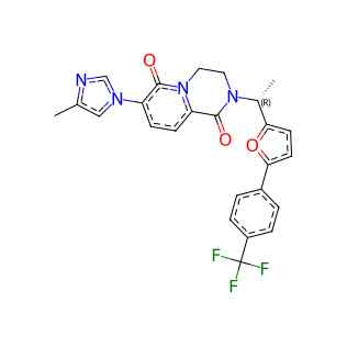 Cc1cn(-c2ccc3n(c2=O)CCN([C@H](C)c2ccc(-c4ccc(C(F)(F)F)cc4)o2)C3=O)cn1